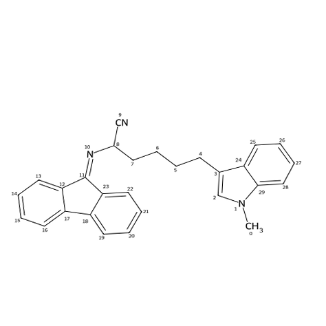 Cn1cc(CCCCC(C#N)N=C2c3ccccc3-c3ccccc32)c2ccccc21